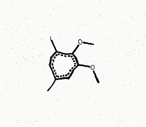 COc1cc(C)cc(I)c1OC